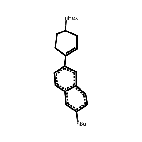 CCCCCCC1CC=C(c2ccc3cc(CCCC)ccc3c2)CC1